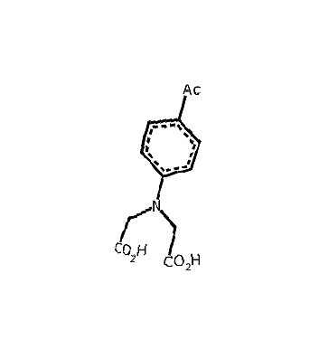 CC(=O)c1ccc(N(CC(=O)O)CC(=O)O)cc1